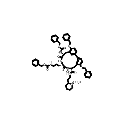 CN1C(=O)[C@H](CCCNC(=O)OCc2ccccc2)NC(=O)[C@@H](NC(=O)OCc2ccccc2)Cc2cc(ccc2OCc2ccccc2)-c2ccc(OCc3ccccc3)c(c2)C[C@H]1C(=O)NCCC1CCCCN1C(=O)O